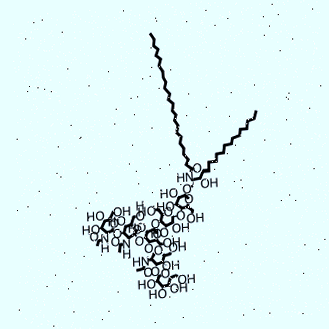 CCCCCCCCCCCCC/C=C/[C@@H](O)[C@H](CO[C@@H]1OC(CO)[C@@H](O[C@@H]2OC(CO)[C@H](O[C@@H]3OC(CO)[C@H](O[C@@H]4OC(CO)[C@H](O)[C@H](O[C@@H]5OC(CO)[C@H](O)[C@H](O)C5O)C4NC(C)=O)[C@H](O[C@@H]4OC(CO)[C@H](O)[C@H](O[C@H]5OC(CO)[C@H](O)[C@H](O)C5NC(C)=O)C4NC(C)=O)C3O)[C@H](O)C2O)[C@H](O)C1O)NC(=O)CCCCCCCCCCCCCCCCCCCCCCCCC